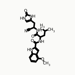 COc1cccc2[nH]c(C(=O)NC(CC(C)C)C(=O)NC(C#N)Cc3c[nH]c(=O)[nH]3)cc12